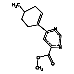 COC(=O)c1cc(C2=CCC(C)CC2)ncn1